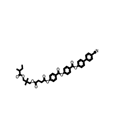 CCC(C)C(=O)OCC(C)(C)COC(=O)CCC(=O)Oc1ccc(C(=O)Oc2ccc(C(=O)Oc3ccc(-c4ccc(C#N)cc4)cc3)cc2)cc1